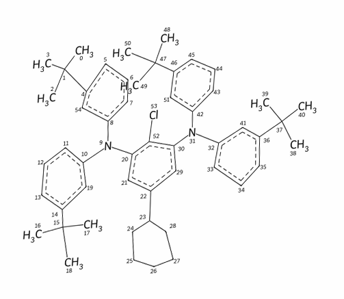 CC(C)(C)c1cccc(N(c2cccc(C(C)(C)C)c2)c2cc(C3CCCCC3)cc(N(c3cccc(C(C)(C)C)c3)c3cccc(C(C)(C)C)c3)c2Cl)c1